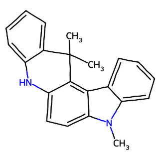 Cn1c2ccccc2c2c3c(ccc21)Nc1ccccc1C3(C)C